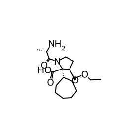 CCOC(=O)C1CCN(C(=O)[C@H](C)N)[C@@]1(C(=O)O)C1CCCCCC1